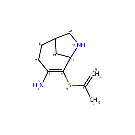 C=C(C)SC1=C(N)CCC2CNC1C2